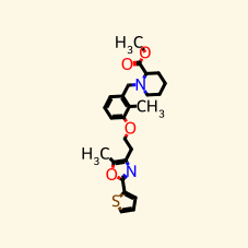 COC(=O)C1CCCCN1Cc1cccc(OCCc2nc(-c3cccs3)oc2C)c1C